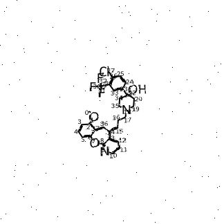 COC1C=CC=C2Oc3ncccc3C(=CCCN3CCC(O)(c4ccc(Cl)c(C(F)(F)F)c4)CC3)C=C21